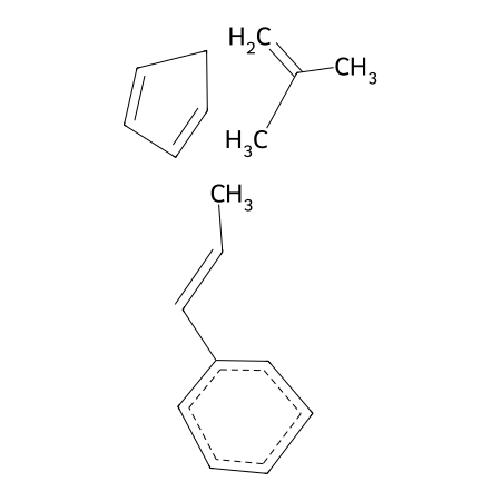 C1=CCC=C1.C=C(C)C.CC=Cc1ccccc1